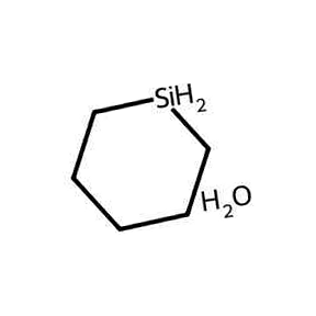 C1CC[SiH2]CC1.O